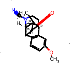 COc1ccc2c(c1)[C@]13CCN(C#N)[C@H](C2)[C@@H]1C(C)CC(=O)C3